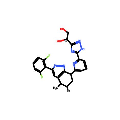 CCC1CC(c2cccc(-c3nc([C@@H](O)CO)n[nH]3)n2)c2nnc(-c3c(F)cccc3F)cc2C1C